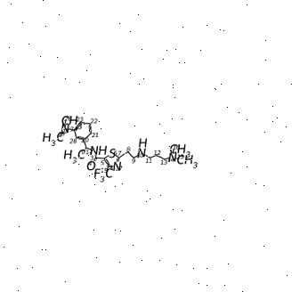 CC(NC(=O)c1sc(CCNCCCN(C)C)nc1C(F)(F)F)c1cccc(N(C)C)c1